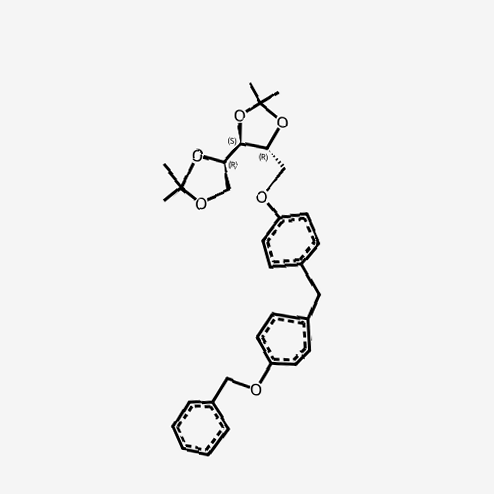 CC1(C)OC[C@H]([C@H]2OC(C)(C)O[C@@H]2COc2ccc(Cc3ccc(OCc4ccccc4)cc3)cc2)O1